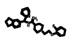 C=C(NC(c1ccc2c(c1)CCC2)c1ccccn1)C1CCN(CCOC2=CCCC=C2F)CC1